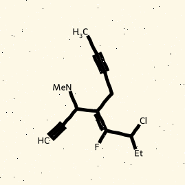 C#CC(NC)/C(CC#CC)=C(\F)C(Cl)CC